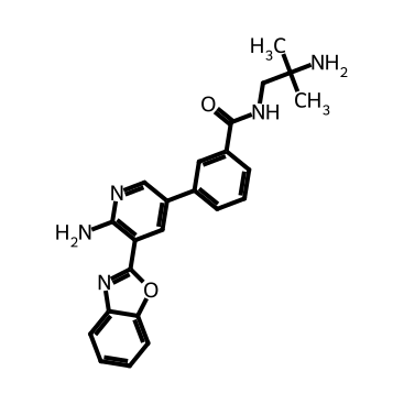 CC(C)(N)CNC(=O)c1cccc(-c2cnc(N)c(-c3nc4ccccc4o3)c2)c1